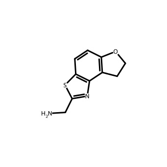 NCc1nc2c3c(ccc2s1)OCC3